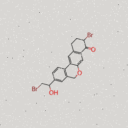 O=C1c2cc3c(cc2CCC1Br)-c1ccc(C(O)CBr)cc1CO3